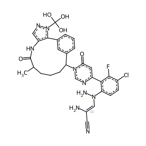 CC1CCCC(n2cnc(-c3c(N(N)/C=C(\N)C#N)ccc(Cl)c3F)cc2=O)c2cccc(c2)-c2c(cnn2C(O)(O)O)NC1=O